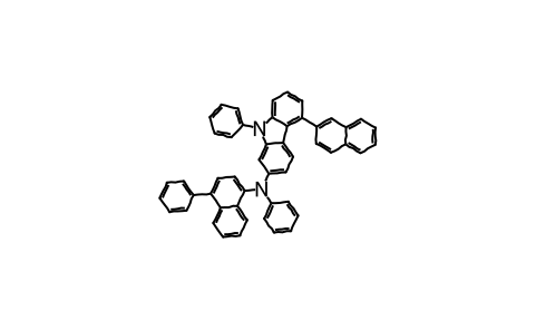 c1ccc(-c2ccc(N(c3ccccc3)c3ccc4c5c(-c6ccc7ccccc7c6)cccc5n(-c5ccccc5)c4c3)c3ccccc23)cc1